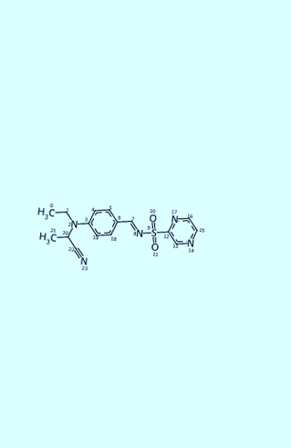 CCN(c1ccc(C=NS(=O)(=O)c2cnccn2)cc1)C(C)C#N